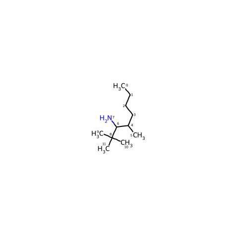 CCCCC(C)C(N)C(C)(C)C